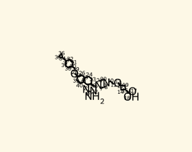 Nc1nc2c(c(N3CCN(CCOC4CC(C(=O)O)C4)CC3)n1)CCc1cc(OCc3ccc(C4CC4)cc3)ccc1-2